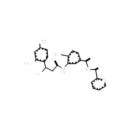 CCCCCC(CC(=O)Nc1cc(C(=O)NC(=O)c2ccccn2)ccc1C(C)(C)C)c1ccc(OC)cc1OC